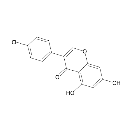 O=c1c(-c2ccc(Cl)cc2)coc2cc(O)cc(O)c12